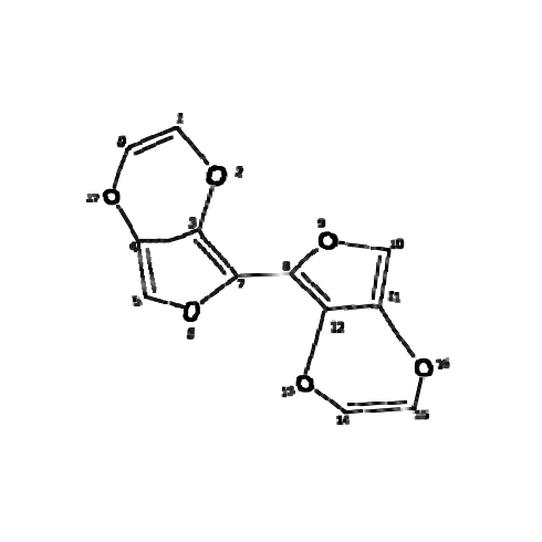 C1=COc2c(coc2-c2occ3c2OC=CO3)O1